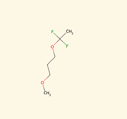 COCCCOC(C)(F)F